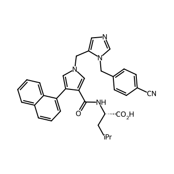 CC(C)C[C@H](NC(=O)c1cn(Cc2cncn2Cc2ccc(C#N)cc2)cc1-c1cccc2ccccc12)C(=O)O